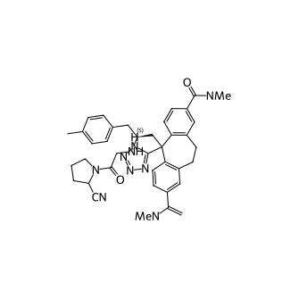 C=C(NC)c1ccc2c(c1)CCc1cc(C(=O)NC)ccc1C2(C[C@H](Cc1ccc(C)cc1)NCC(=O)N1CCCC1C#N)c1nnn[nH]1